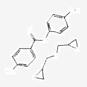 C(OCC1CO1)C1CO1.O=C(Oc1ccc(O)cc1)c1ccc(O)cc1